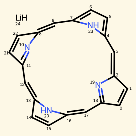 C1=Cc2cc3ccc(cc4nc(cc5ccc(cc1n2)[nH]5)C=C4)[nH]3.[LiH]